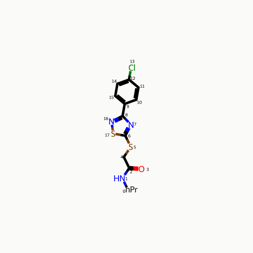 CCCNC(=O)CSc1nc(-c2ccc(Cl)cc2)ns1